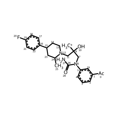 CC(=O)c1cccc(N(CC(C)(O)CN2CCC(c3ccc(F)cc3)CC2C)C(N)=O)c1